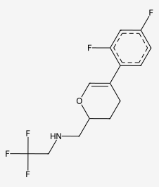 Fc1ccc(C2=COC(CNCC(F)(F)F)CC2)c(F)c1